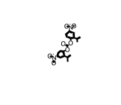 C=C(C)c1cc([N+](=O)[O-])ccc1OC(=O)Oc1ccc([N+](=O)[O-])cc1C(=C)C